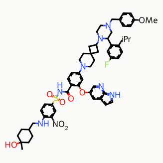 COc1ccc(CN2CCN(C3CC4(CCN(c5ccc(C(=O)NS(=O)(=O)c6ccc(NCC7CCC(C)(O)CC7)c([N+](=O)[O-])c6)c(Oc6cnc7[nH]ccc7c6)c5)CC4)C3)C(c3cc(F)ccc3C(C)C)C2)cc1